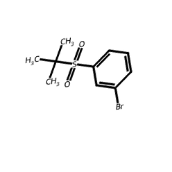 CC(C)(C)S(=O)(=O)c1cccc(Br)c1